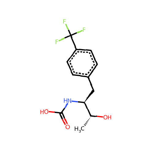 C[C@@H](O)[C@H](Cc1ccc(C(F)(F)F)cc1)NC(=O)O